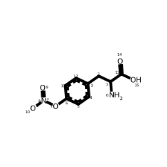 NC(Cc1ccc(O[N+](=O)[O-])cc1)C(=O)O